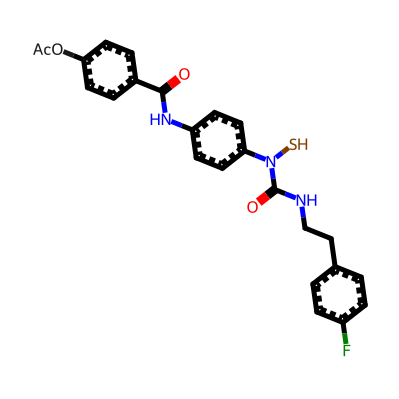 CC(=O)Oc1ccc(C(=O)Nc2ccc(N(S)C(=O)NCCc3ccc(F)cc3)cc2)cc1